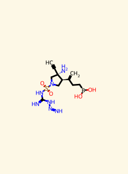 C#C[C@]1(N)CN(S(=O)(=O)NC(=N)NN=N)C[C@@H]1C(=C)CCB(O)O